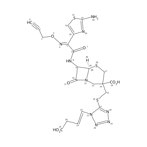 C#CCON=C(C(=O)NC1C(=O)N2CC(CSc3nnnn3C=CCC(=O)O)(C(=O)O)CS[C@H]12)c1csc(N)n1